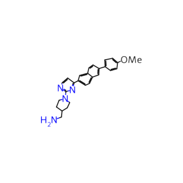 COc1ccc(-c2ccc3cc(-c4ccnc(N5CCC(CN)CC5)n4)ccc3c2)cc1